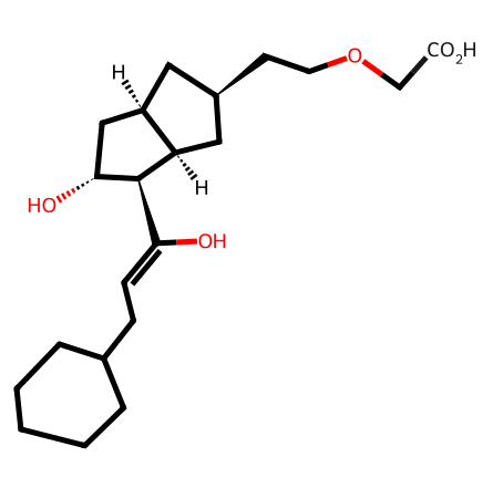 O=C(O)COCC[C@@H]1C[C@@H]2C[C@@H](O)[C@H](C(O)=CCC3CCCCC3)[C@@H]2C1